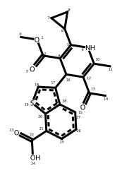 COC(=O)C1=C(C2CC2)NC(C)=C(C(C)=O)C1c1csc2c(C(=O)O)cccc12